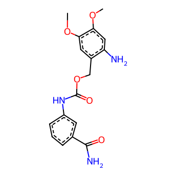 COc1cc(N)c(COC(=O)Nc2cccc(C(N)=O)c2)cc1OC